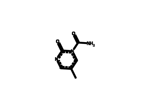 Cc1[c]nc(=O)n(C(N)=O)c1